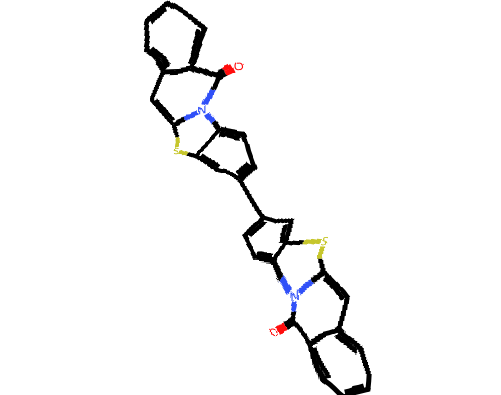 O=c1c2ccccc2cc2sc3cc(-c4ccc5c(c4)sc4cc6ccccc6c(=O)n45)ccc3n12